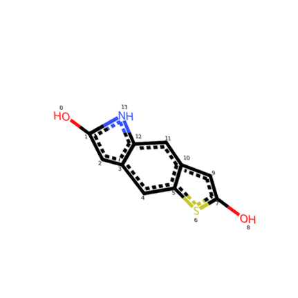 Oc1cc2cc3sc(O)cc3cc2[nH]1